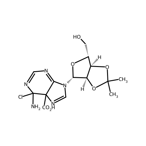 CC1(C)O[C@@H]2[C@H](O1)[C@@H](CO)O[C@H]2N1C=NC2(C(=O)O)C1=NC=NC2(N)Cl